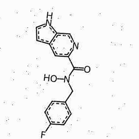 O=C(c1cc2cc[nH]c2cn1)N(O)Cc1ccc(F)cc1